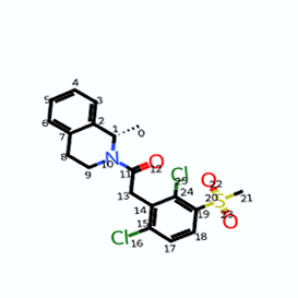 C[C@H]1c2ccccc2CCN1C(=O)Cc1c(Cl)ccc(S(C)(=O)=O)c1Cl